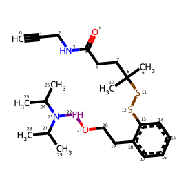 C#CCNC(=O)CCC(C)(C)SSc1ccccc1CCOPN(C(C)C)C(C)C